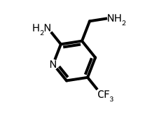 NCc1cc(C(F)(F)F)cnc1N